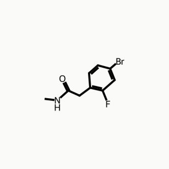 CNC(=O)Cc1ccc(Br)cc1F